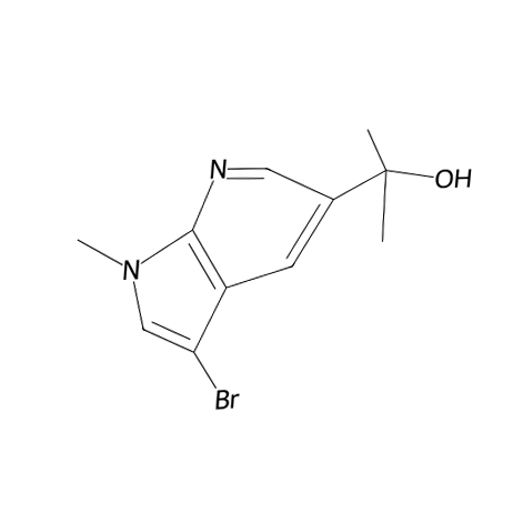 Cn1cc(Br)c2cc(C(C)(C)O)cnc21